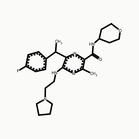 Cc1nc(NCCN2CCCC2)c(C(C)c2ccc(F)cc2)nc1C(=O)NC1CCOCC1